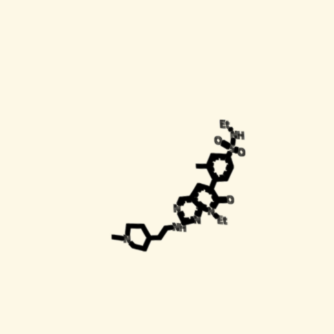 CCNS(=O)(=O)c1ccc(-c2cc3cnc(NCCC4CCN(C)CC4)nc3n(CC)c2=O)c(C)c1